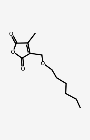 CCCCCCOCC1=C(C)C(=O)OC1=O